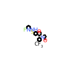 O=C1CCCN1c1cc(C(F)(F)F)ccc1[C@H]1CCOc2cc(SNc3cccc(F)n3)ccc21